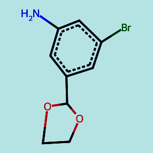 Nc1cc(Br)cc(C2OCCO2)c1